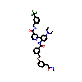 CCN(CC)c1ccc(NC(=O)c2cccc(CSc3cccc(CC(=O)NC)c3)c2)c(-c2cc(C(=O)NCc3cccc(C(F)(F)F)c3)ccn2)c1